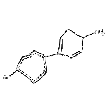 CC1C=CC(c2ccc(Br)cc2)=CC1